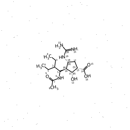 CCC(CC)C(NC(C)=O)[C@@H]1[C@@H](O)[C@@H](C(=O)O)C[C@H]1NC(=N)N